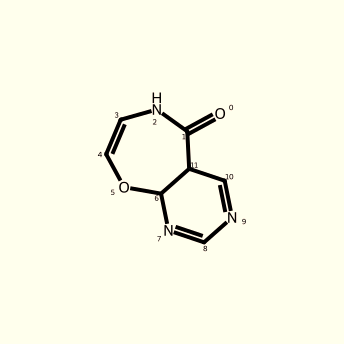 O=C1NC=COC2N=CN=CC12